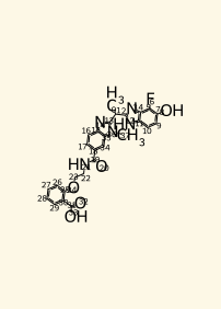 CC(c1nc2c(F)c(O)ccc2[nH]1)c1nc2ccc(C(=O)NCCOc3ccccc3C(=O)O)cc2n1C